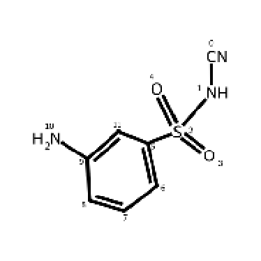 N#CNS(=O)(=O)c1cccc(N)c1